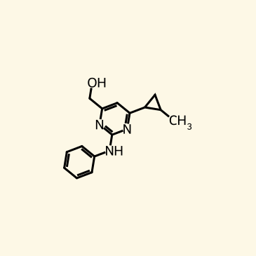 CC1CC1c1cc(CO)nc(Nc2ccccc2)n1